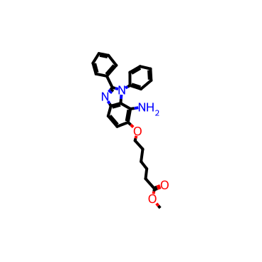 COC(=O)CCCCCOc1ccc2nc(-c3ccccc3)n(-c3ccccc3)c2c1N